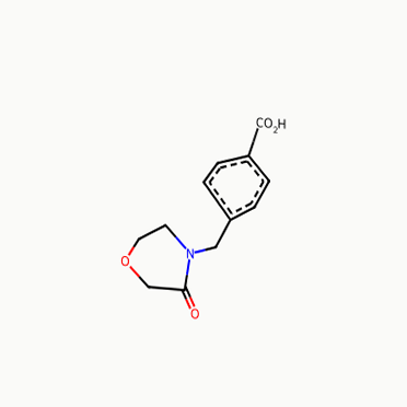 O=C(O)c1ccc(CN2CCOCC2=O)cc1